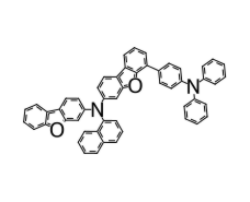 c1ccc(N(c2ccccc2)c2ccc(-c3cccc4c3oc3cc(N(c5ccc6c(c5)oc5ccccc56)c5cccc6ccccc56)ccc34)cc2)cc1